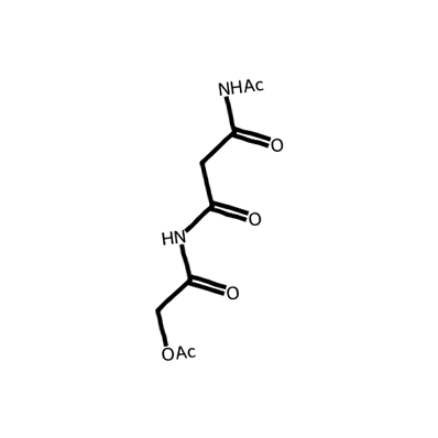 CC(=O)NC(=O)CC(=O)NC(=O)COC(C)=O